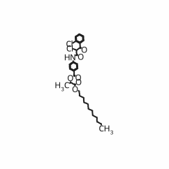 CCCCCCCCCCCCOC(=O)C(C)OC(=O)c1ccc(NC(=O)C(Cl)C(=O)c2ccccc2Cl)cc1